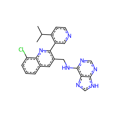 CC(C)c1ccncc1-c1nc2c(Cl)cccc2cc1CNc1ncnc2[nH]cnc12